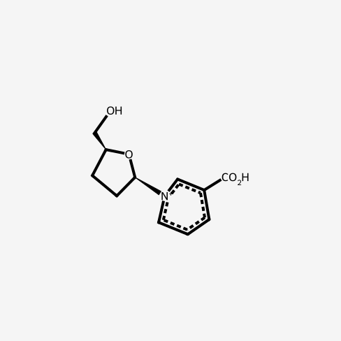 O=C(O)c1ccc[n+]([C@H]2CC[C@@H](CO)O2)c1